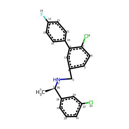 C[C@@H](NCc1ccc(Cl)c(-c2ccc(F)cc2)c1)c1cccc(Cl)c1